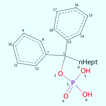 CCCCCCCC(OP(=O)(O)O)(c1ccccc1)c1ccccc1